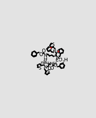 CCCC[C@H](NC(=O)OCc1ccccc1)C(=O)N(Cc1cccs1)Cc1cccs1.O=C(NCCCC[C@@H](C(=O)N(Cc1cccs1)Cc1cccs1)N(Cc1ccccc1)C(=O)O)OCc1ccccc1